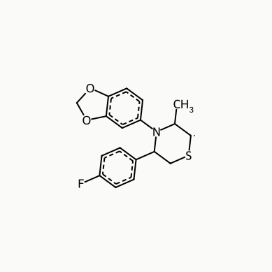 CC1[CH]SCC(c2ccc(F)cc2)N1c1ccc2c(c1)OCO2